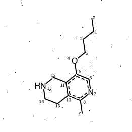 CCCCOc1cnc(C)c2c1CNCC2